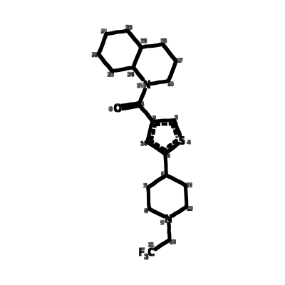 O=C(c1csc(C2CCN(CC(F)(F)F)CC2)c1)N1CCCC2CCCCC21